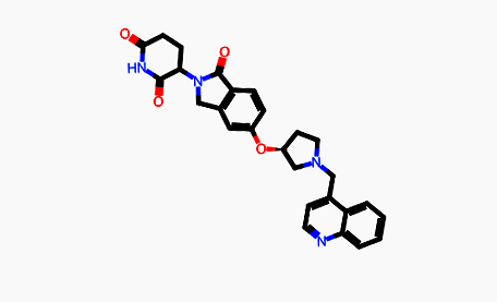 O=C1CCC(N2Cc3cc(O[C@H]4CCN(Cc5ccnc6ccccc56)C4)ccc3C2=O)C(=O)N1